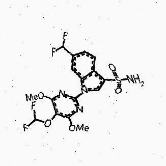 COc1nc(-n2cc(S(N)(=O)=O)c3ccc(C(F)F)cc32)nc(OC)c1OC(F)F